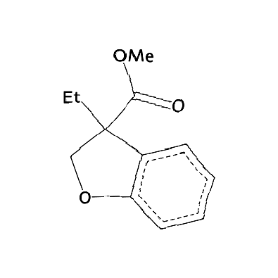 CCC1(C(=O)OC)COc2ccccc21